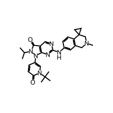 CC(C)n1c(=O)c2cnc(Nc3ccc4c(c3)CN(C)CC43CC3)nc2n1-c1ccc(=O)n(C(C)(C)C)c1